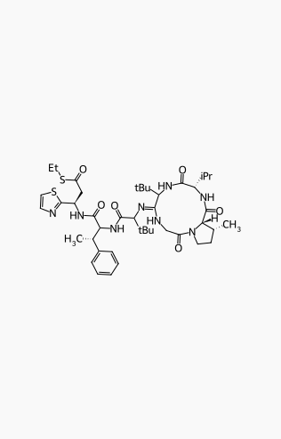 CCSC(=O)C[C@@H](NC(=O)C(NC(=O)C(/N=C1\NCC(=O)N2CC[C@@H](C)[C@H]2C(=O)N[C@@H](C(C)C)C(=O)NC1C(C)(C)C)C(C)(C)C)[C@@H](C)c1ccccc1)c1nccs1